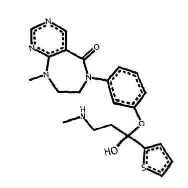 CNCCC(O)(Oc1cccc(N2CCN(C)c3ncncc3C2=O)c1)c1cccs1